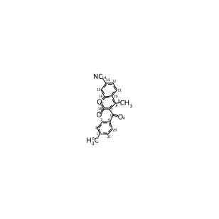 Cc1ccc(C(=O)c2c(C)c3ccc(C#N)cc3oc2=O)cc1